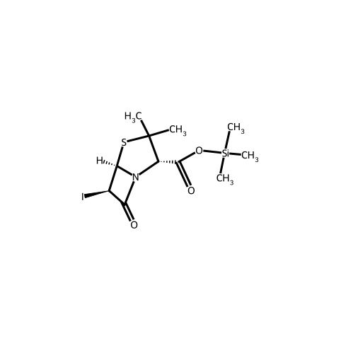 CC1(C)S[C@@H]2[C@H](I)C(=O)N2[C@H]1C(=O)O[Si](C)(C)C